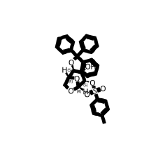 Cc1ccc(S(=O)(=O)O[C@@H]2[C@@H]3OC[C@@H](O3)[C@@H](OC(c3ccccc3)(c3ccccc3)c3ccccc3)[C@@H]2O)cc1